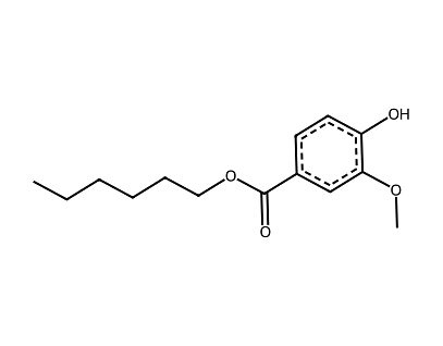 CCCCCCOC(=O)c1ccc(O)c(OC)c1